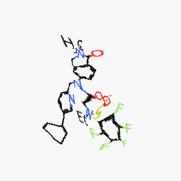 CCN(CC(=O)N(Cc1ccc(C2CCCCC2)cn1)c1ccc2c(c1)CN(C)C2=O)[S+]([O-])c1c(F)c(F)c(F)c(F)c1F